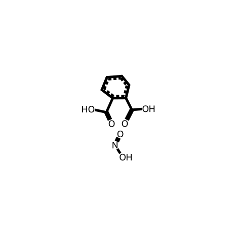 O=C(O)c1ccccc1C(=O)O.O=NO